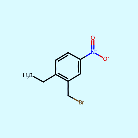 BCc1ccc([N+](=O)[O-])cc1CBr